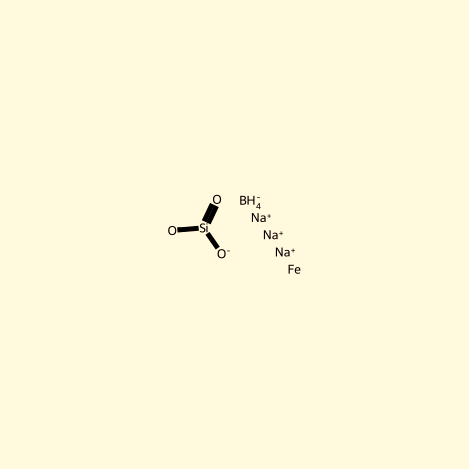 O=[Si]([O-])[O-].[BH4-].[Fe].[Na+].[Na+].[Na+]